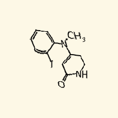 CN(C1=CC(=O)NCC1)c1ccccc1I